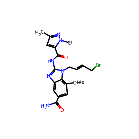 CCn1nc(C)cc1C(=O)Nc1nc2cc(C(N)=O)cc(OC)c2n1C/C=C/CBr